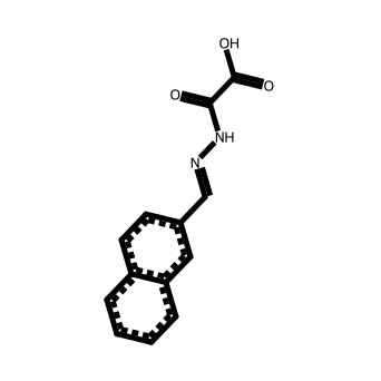 O=C(O)C(=O)N/N=C/c1ccc2ccccc2c1